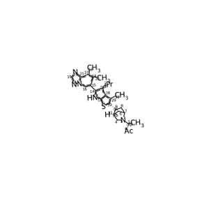 CC(=O)[C@@H](C)N1C[C@@H]2CC1C[C@H]2c1sc2[nH]c(-c3cn4ncnc4c(C)c3C)c(C(C)C)c2c1C